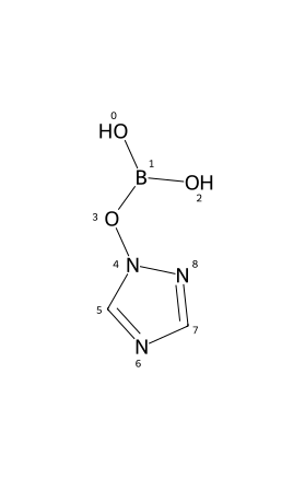 OB(O)On1cncn1